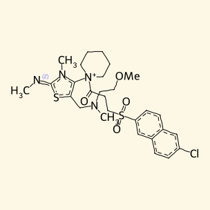 C/N=c1\sc(CN(C)CCOC)c([N+]2(C(=O)CCS(=O)(=O)c3ccc4cc(Cl)ccc4c3)CCCCC2)n1C